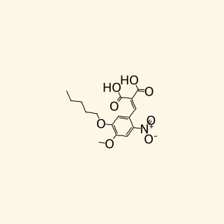 CCCCCOc1cc(C=C(C(=O)O)C(=O)O)c([N+](=O)[O-])cc1OC